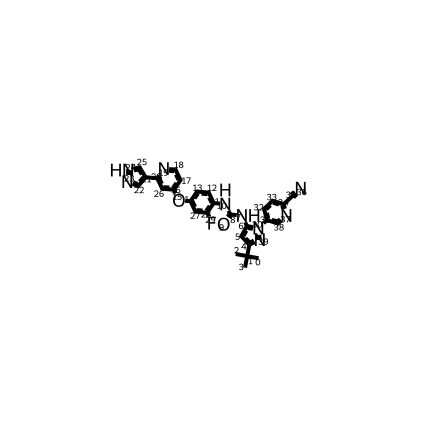 CC(C)(C)c1cc(NC(=O)Nc2ccc(Oc3ccnc(-c4cn[nH]c4)c3)cc2F)n(-c2ccc(C#N)nc2)n1